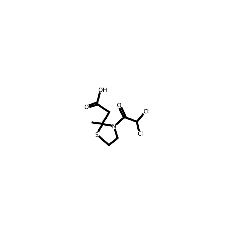 CC1(CC(=O)O)SCCN1C(=O)C(Cl)Cl